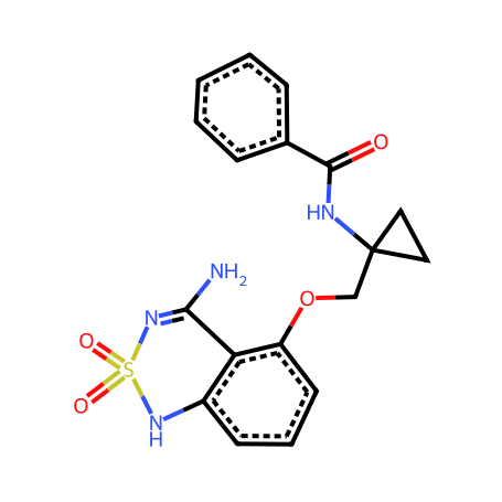 NC1=NS(=O)(=O)Nc2cccc(OCC3(NC(=O)c4ccccc4)CC3)c21